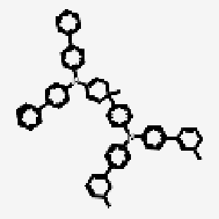 CC1C=C(c2ccc(N(c3ccc(C4=CC=CC(C)C4)cc3)c3ccc(C4(C)C=CC(N(c5ccc(-c6c#cccc6)cc5)c5ccc(-c6ccccc6)cc5)=CC4)cc3)cc2)C=CC1